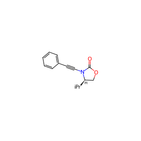 CC(C)[C@@H]1COC(=O)N1C#Cc1ccccc1